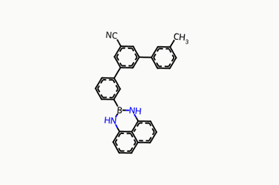 Cc1cccc(-c2cc(C#N)cc(-c3cccc(B4Nc5cccc6cccc(c56)N4)c3)c2)c1